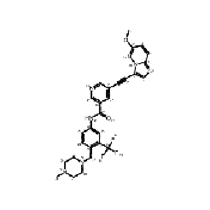 COc1ccc2ncc(C#Cc3cncc(C(=O)Nc4ccc(CN5CCN(C)CC5)c(C(F)(F)F)c4)c3)n2n1